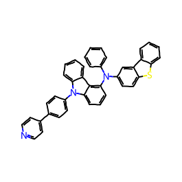 c1ccc(N(c2ccc3sc4ccccc4c3c2)c2cccc3c2c2ccccc2n3-c2ccc(-c3ccncc3)cc2)cc1